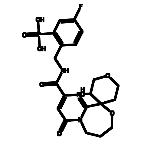 O=C(NCc1ccc(F)cc1P(=O)(O)O)c1cc(=O)n2c(n1)C1(CCOCC1O)OCCC2